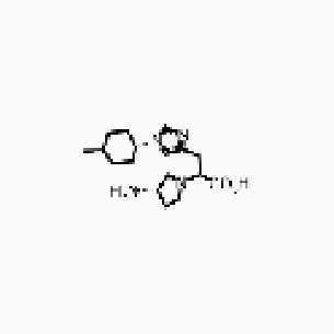 C[C@H]1CC[C@H](n2cnc(CC(C(=O)O)N3CC[C@H](N)C3)c2)CC1